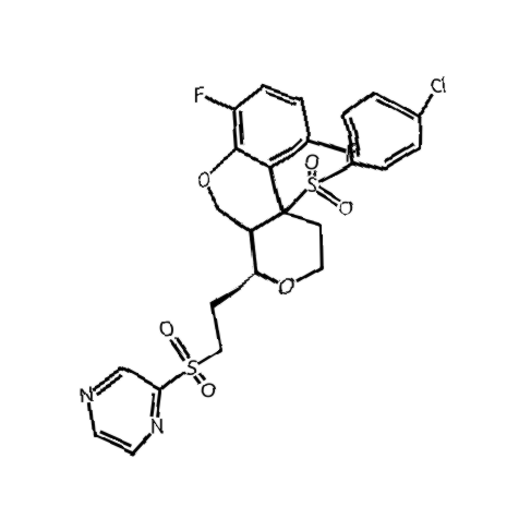 O=S(=O)(CC[C@@H]1OCCC2(S(=O)(=O)c3ccc(Cl)cc3)c3c(F)ccc(F)c3OCC12)c1cnccn1